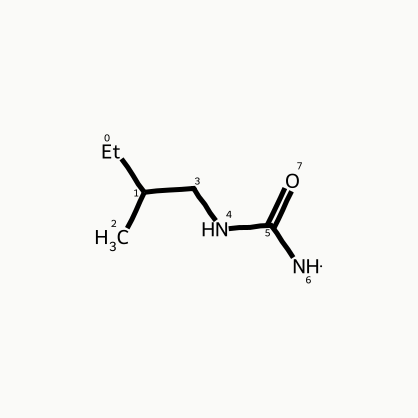 CCC(C)CNC([NH])=O